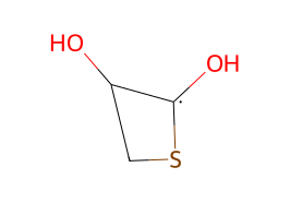 O[C]1SCC1O